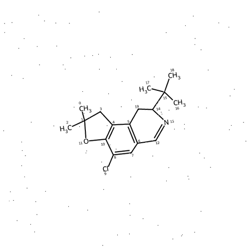 CC1(C)Cc2c3c(cc(Cl)c2O1)C=NC(C(C)(C)C)C3